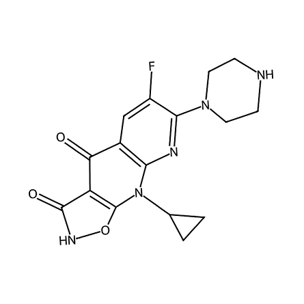 O=c1[nH]oc2c1c(=O)c1cc(F)c(N3CCNCC3)nc1n2C1CC1